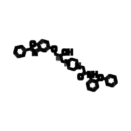 O=C(CN1CCN(C[C@H](O)COc2ccc3oc(-c4ccccc4)nc3c2)CC1)Nc1ccccc1Oc1ccccc1